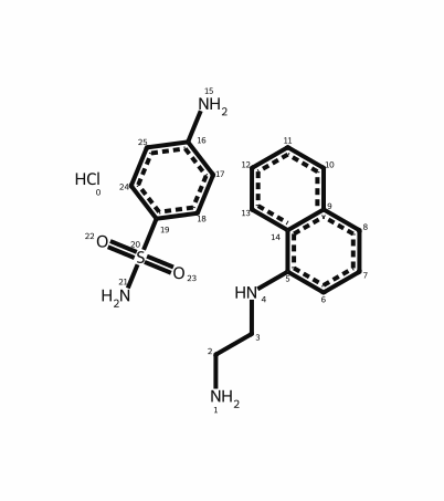 Cl.NCCNc1cccc2ccccc12.Nc1ccc(S(N)(=O)=O)cc1